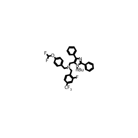 CCCCn1c(-c2ccccc2)nc(-c2ccccc2)c1CN(Cc1ccc(OC(F)F)cc1)Cc1ccc(C(F)(F)F)cc1F